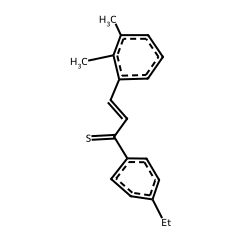 CCc1ccc(C(=S)C=Cc2cccc(C)c2C)cc1